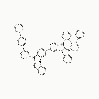 c1ccc(-c2ccc(-c3cccc(-n4c5ccc(-c6ccc7c(c6)n6c8ccccc8nc6n7-c6cccc7c8ccccc8c8ccccc8c67)cc5n5c6ccccc6nc45)c3)cc2)cc1